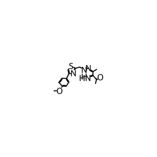 COc1ccc(-c2csc(CN/N=C(/C)C(=N)C(C)=O)n2)cc1